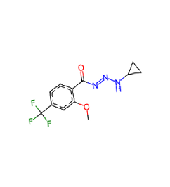 COc1cc(C(F)(F)F)ccc1C(=O)N=NNC1CC1